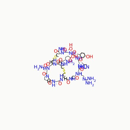 C[C@@H]1NC(=O)[C@@H]2CCCN2C(=O)[C@H](CC(N)=O)NC(=O)[C@@H]2CSSC[C@@H](C(N)=O)NC(=O)[C@H](CO)NC(=O)[C@H](Cc3ccc(O)cc3)NC(=O)[C@H](Cc3cnc[nH]3)NC(=O)[C@H](CCCN=C(N)N)NC(=O)CNC(=O)[C@H](CSSC[C@H](NC(=O)[C@@H](N)CCC(=O)O)C(=O)N2)NC1=O